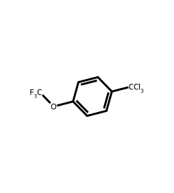 FC(F)(F)Oc1ccc(C(Cl)(Cl)Cl)cc1